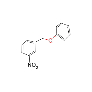 O=[N+]([O-])c1cccc(COc2ccccc2)c1